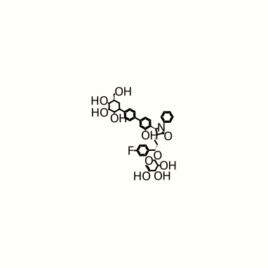 O=C1[C@H](CC[C@H](O[C@@H]2OC=C(O)C(O)C2O)c2ccc(F)cc2)[C@@H](c2ccc(-c3ccc(C4C[C@H](CO)[C@@H](O)[C@H](O)[C@H]4O)cc3)cc2O)N1c1ccccc1